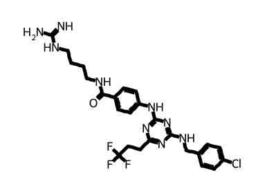 N=C(N)NCCCCNC(=O)c1ccc(Nc2nc(CCC(F)(F)F)nc(NCc3ccc(Cl)cc3)n2)cc1